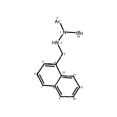 CC(=O)N(NCc1cccc2ccccc12)C(C)(C)C